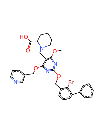 COc1nc(OCc2cccc(-c3ccccc3)c2Br)nc(OCc2cccnc2)c1CN1CCCC[C@H]1C(=O)O